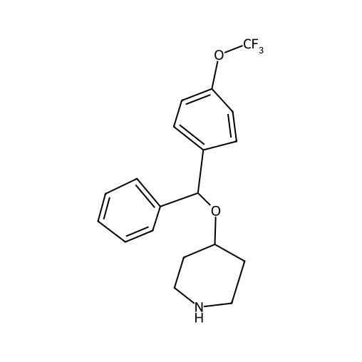 FC(F)(F)Oc1ccc(C(OC2CCNCC2)c2ccccc2)cc1